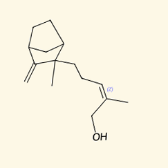 C=C1C2CCC(C2)C1(C)CC/C=C(/C)CO